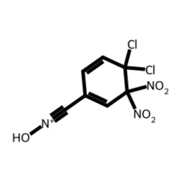 O=[N+]([O-])C1([N+](=O)[O-])C=C(C#[N+]O)C=CC1(Cl)Cl